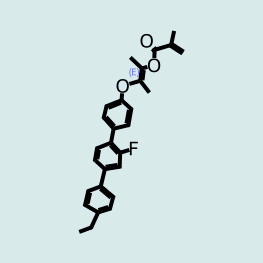 C=C(C)C(=O)O/C(C)=C(\C)Oc1ccc(-c2ccc(-c3ccc(CC)cc3)cc2F)cc1